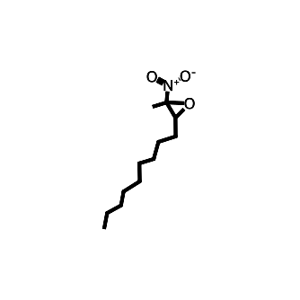 CCCCCCCCCC1OC1(C)[N+](=O)[O-]